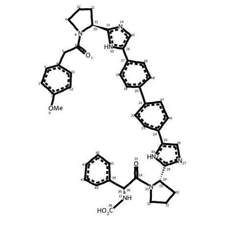 COc1ccc(CC(=O)N2CCC[C@H]2c2ncc(-c3ccc(-c4ccc(-c5cnc([C@@H]6CCCN6C(=O)[C@H](NC(=O)O)c6ccccc6)[nH]5)cc4)cc3)[nH]2)cc1